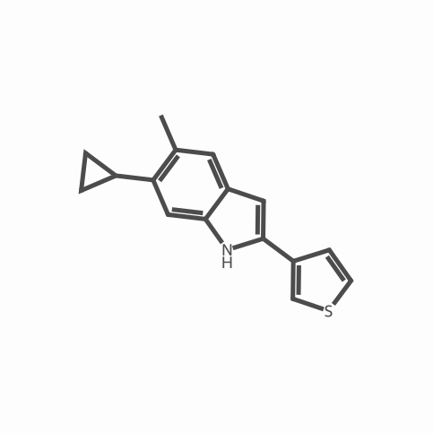 Cc1cc2cc(-c3ccsc3)[nH]c2cc1C1CC1